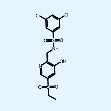 CCS(=O)(=O)c1cnc(CNS(=O)(=O)c2cc(Cl)cc(Cl)c2)c(O)c1